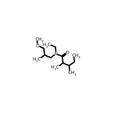 CCC(C)C(C)C(=O)N(CC)CC(C)COC